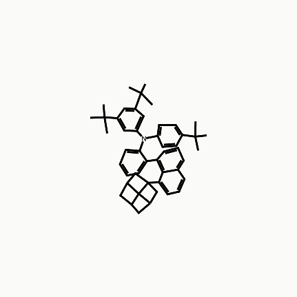 CC(C)(C)c1ccc(N(c2cc(C(C)(C)C)cc(C(C)(C)C)c2)c2ccccc2-c2cccc3cccc(C45CC6CC7CC(C4)C765)c23)cc1